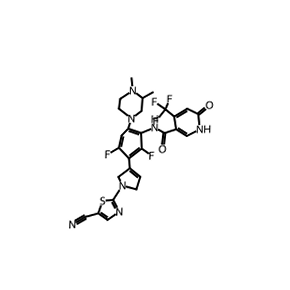 CC1CN(c2cc(F)c(C3=CCN(c4ncc(C#N)s4)C3)c(F)c2NC(=O)c2c[nH]c(=O)cc2C(F)(F)F)CCN1C